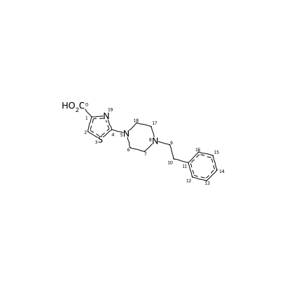 O=C(O)c1csc(N2CCN(CCc3ccccc3)CC2)n1